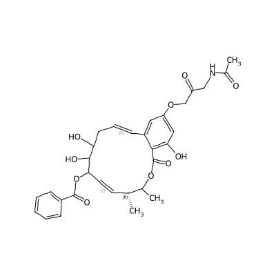 CC(=O)NCC(=O)COc1cc(O)c2c(c1)/C=C/CC(O)C(O)C(OC(=O)c1ccccc1)/C=C\[C@@H](C)C(C)OC2=O